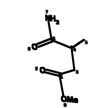 COC(=O)C[C](C)C(N)=O